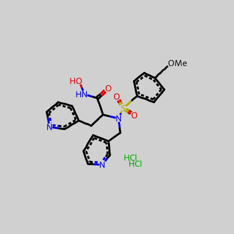 COc1ccc(S(=O)(=O)N(Cc2cccnc2)C(Cc2cccnc2)C(=O)NO)cc1.Cl.Cl